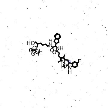 Cc1[nH]c(/C=C2\C(=O)Nc3ccc(F)cc32)c(C)c1CCC(=O)NC(C(=O)NCCCCC(CO)COP(=O)(O)O)C1Cc2ccccc2C1